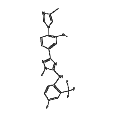 COc1cc(-c2nc(Nc3ccc(F)cc3C(F)(F)F)n(C)n2)ccc1-n1cnc(C)c1